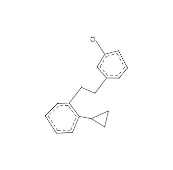 Clc1cccc(C[CH]c2ccccc2C2CC2)c1